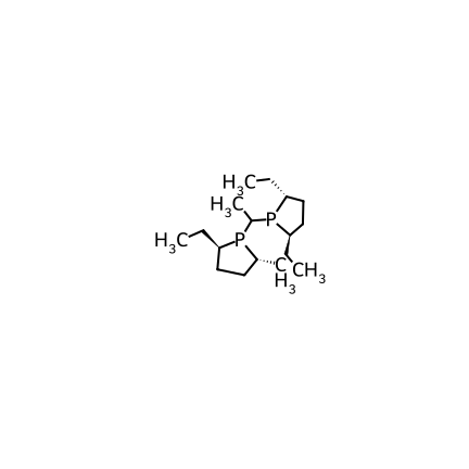 CC[C@@H]1CC[C@@H](CC)P1C(C)P1[C@H](CC)CC[C@H]1C